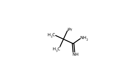 CC(C)C(C)(C)C(=N)N